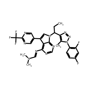 CCC(c1nnn(-c2ccc(F)cc2F)c1C)n1cc(-c2cnc(C(F)(F)F)nc2)c2c(N=CN(C)C)ncnc21